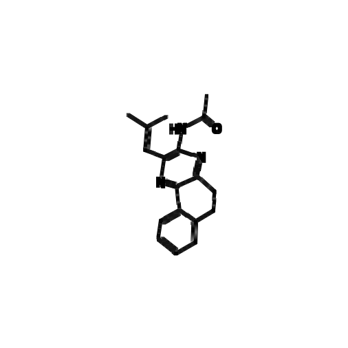 CC(=O)Nc1nc2c(nc1C=C(C)C)-c1ccccc1CC2